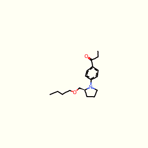 CCCCOC[C@@H]1CCCN1c1ccc(C(=O)CC)cc1